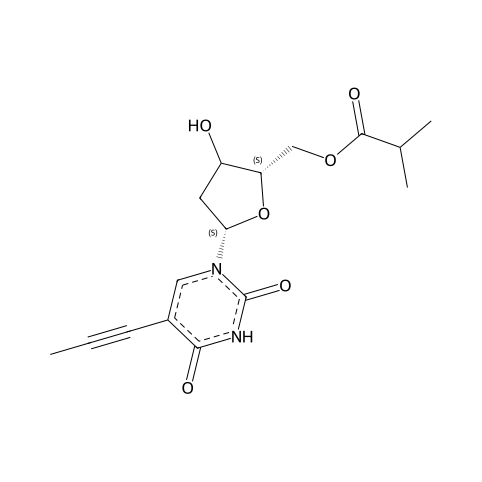 CC#Cc1cn([C@@H]2CC(O)[C@H](COC(=O)C(C)C)O2)c(=O)[nH]c1=O